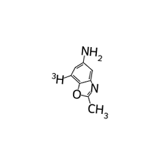 [3H]c1cc(N)cc2nc(C)oc12